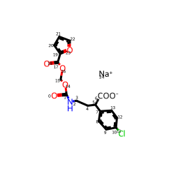 O=C(NCCC(C(=O)[O-])c1ccc(Cl)cc1)OCOC(=O)c1ccco1.[Na+]